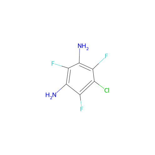 Nc1c(F)c(N)c(F)c(Cl)c1F